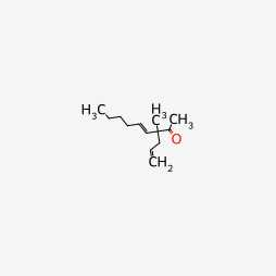 C=CCC(C)(C=CCCCC)C(C)=O